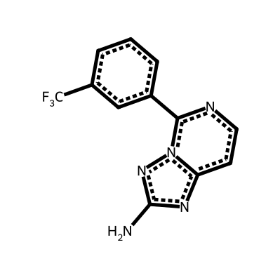 Nc1nc2ccnc(-c3cccc(C(F)(F)F)c3)n2n1